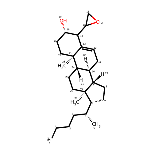 CC(C)CCC[C@@H](C)[C@H]1CC[C@H]2[C@@H]3CC=C4C(C5CO5)[C@@H](O)CC[C@]4(C)[C@H]3CC[C@]12C